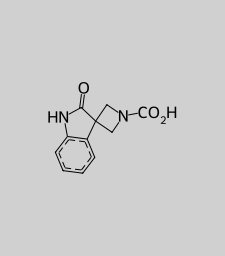 O=C(O)N1CC2(C1)C(=O)Nc1ccccc12